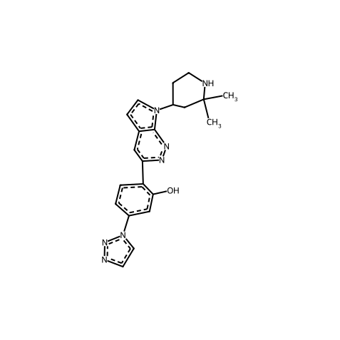 CC1(C)CC(n2ccc3cc(-c4ccc(-n5ccnn5)cc4O)nnc32)CCN1